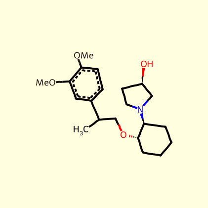 COc1ccc(C(C)CO[C@H]2CCCC[C@@H]2N2CC[C@@H](O)C2)cc1OC